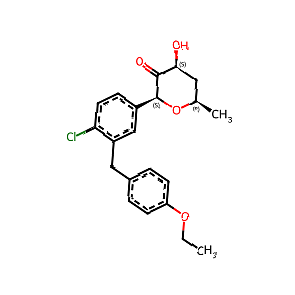 CCOc1ccc(Cc2cc([C@@H]3O[C@H](C)C[C@H](O)C3=O)ccc2Cl)cc1